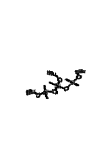 CC(C)(C)O[Si](C)(C)O[Si](C)(OC(C)(C)C)O[Si](C)(C)OC(C)(C)C